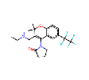 CCNCC1=C(N2CCCC2=O)c2cc(C(F)(F)C(F)(F)F)ccc2OC1(C)C